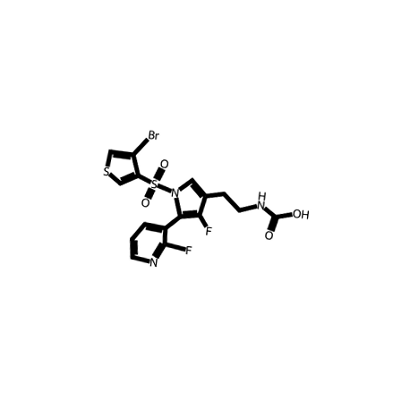 O=C(O)NCCc1cn(S(=O)(=O)c2cscc2Br)c(-c2cccnc2F)c1F